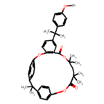 CC(C)Oc1ccc(C(C)(C)c2ccc3c(c2)C(=O)OC(C)(C)CC(C)(C)C(=O)Oc2ccc(cc2)C(C)(C)c2ccc(cc2)O3)cc1